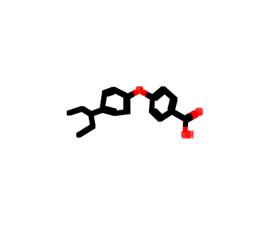 CCC(CC)c1ccc(Oc2ccc(C(=O)O)cc2)cc1